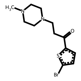 CN1CCN(CCC(=O)c2ccc(Br)s2)CC1